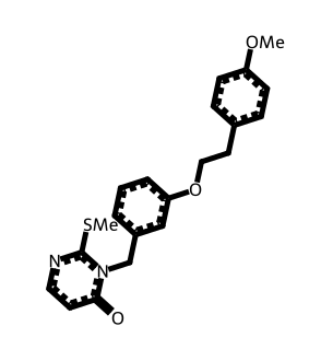 COc1ccc(CCOc2cccc(Cn3c(SC)nccc3=O)c2)cc1